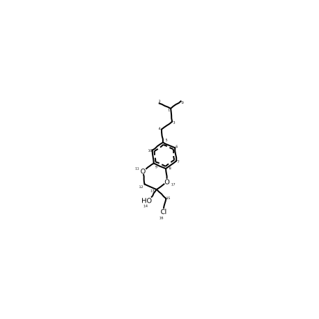 CC(C)CCc1ccc2c(c1)OCC(O)(CCl)O2